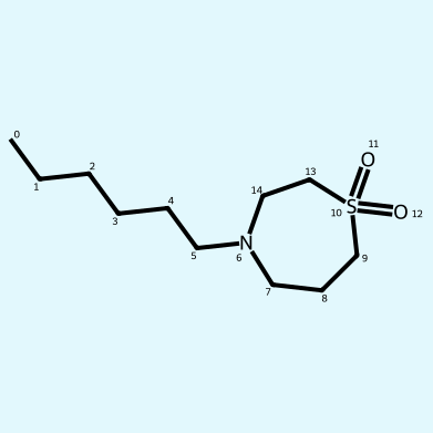 CCCCCCN1CCCS(=O)(=O)CC1